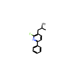 CC(C)C(C)Cc1ccc(-c2ccccc2)nc1F